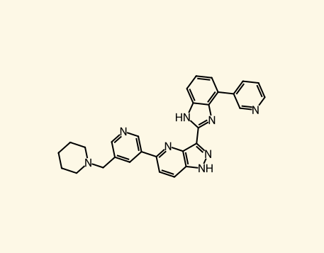 c1cncc(-c2cccc3[nH]c(-c4n[nH]c5ccc(-c6cncc(CN7CCCCC7)c6)nc45)nc23)c1